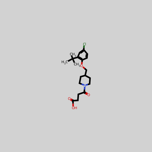 CC(C)(C)c1cc(Cl)ccc1OCC1CCN(C(=O)CCC(=O)O)CC1